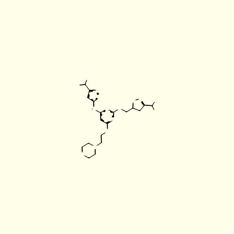 CC(C)C1=NOC(CNc2nc(Nc3cc(C(C)C)[nH]n3)cc(OCCN3CCOCC3)n2)C1